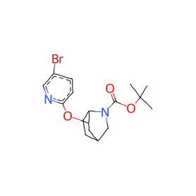 CC(C)(C)OC(=O)N1CC2CCC1C(Oc1ccc(Br)cn1)C2